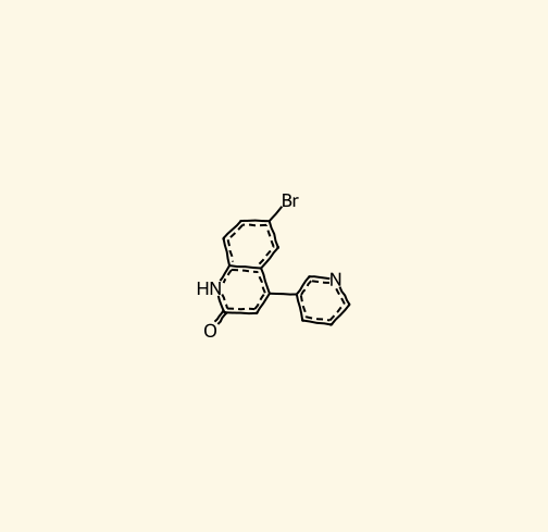 O=c1cc(-c2cccnc2)c2cc(Br)ccc2[nH]1